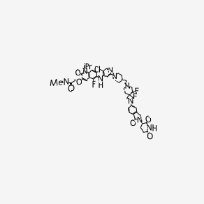 CNC(=O)COc1cc2c(F)c(Nc3cc(N4CCC(CN5CCC6(CN(c7ccc8c(c7)CN(C7CCC(=O)NC7=O)C8=O)C6)C(F)(F)C5)CC4)ncc3Cl)ccc2n(C(C)C)c1=O